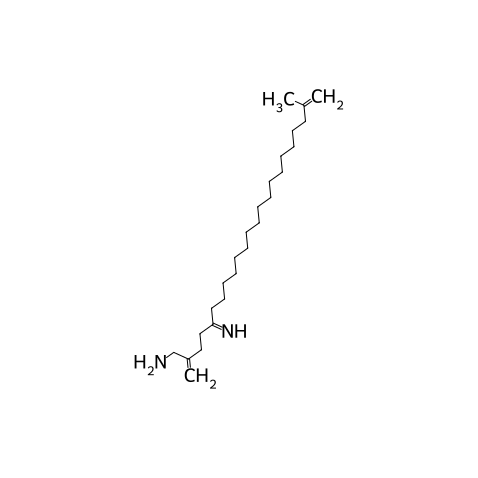 C=C(C)CCCCCCCCCCCCCCCCC(=N)CCC(=C)CN